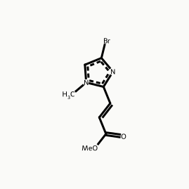 COC(=O)/C=C/c1nc(Br)cn1C